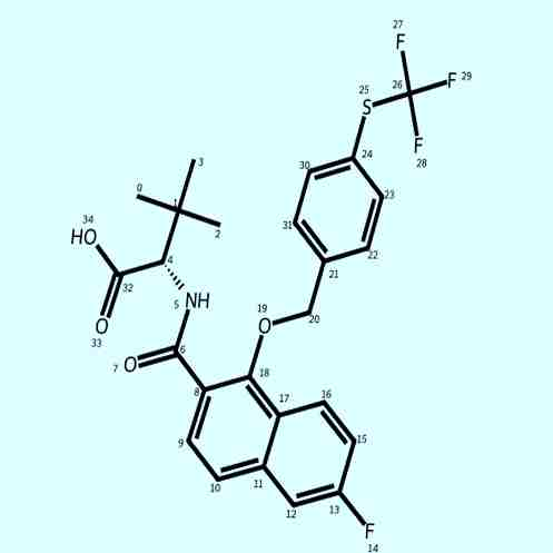 CC(C)(C)[C@H](NC(=O)c1ccc2cc(F)ccc2c1OCc1ccc(SC(F)(F)F)cc1)C(=O)O